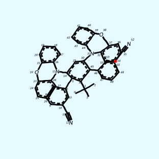 CC(C)(C)c1c(-c2cccc(C#N)c2)c(N2c3ccccc3Oc3ccccc32)cc(N2c3ccccc3Oc3ccccc32)c1-c1cccc(C#N)c1